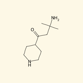 CC(C)(N)CC(=O)C1CCNCC1